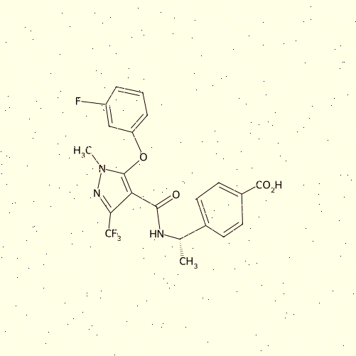 C[C@H](NC(=O)c1c(C(F)(F)F)nn(C)c1Oc1cccc(F)c1)c1ccc(C(=O)O)cc1